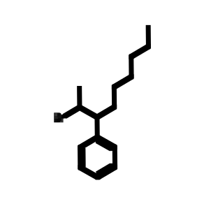 CCCCCCC(c1ccccc1)C(C)Br